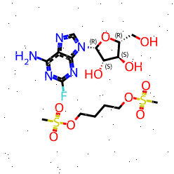 CS(=O)(=O)OCCCCOS(C)(=O)=O.Nc1nc(F)nc2c1ncn2[C@@H]1O[C@H](CO)[C@@H](O)[C@@H]1O